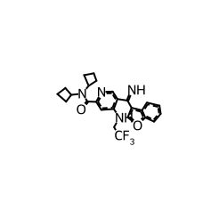 N=C(c1cnc(C(=O)N(C2CCC2)C2CCC2)cc1NCC(F)(F)F)c1coc2ccccc12